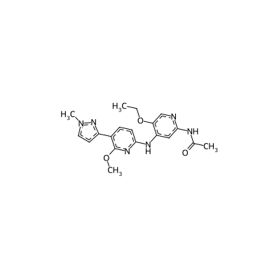 CCOc1cnc(NC(C)=O)cc1Nc1ccc(-c2ccn(C)n2)c(OC)n1